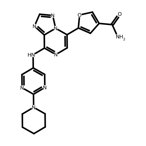 NC(=O)c1coc(-c2cnc(Nc3cnc(N4CCCCC4)nc3)c3ncnn23)c1